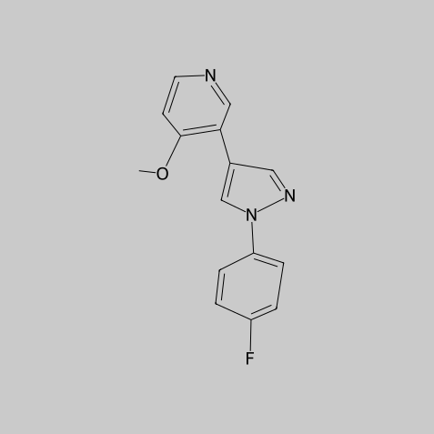 COc1ccncc1-c1cnn(-c2ccc(F)cc2)c1